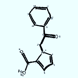 O=C(Cn1cccc1C(=O)O)c1ccccc1